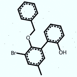 Cc1cc(Br)c(OCc2ccccc2)c(-c2ccccc2O)c1